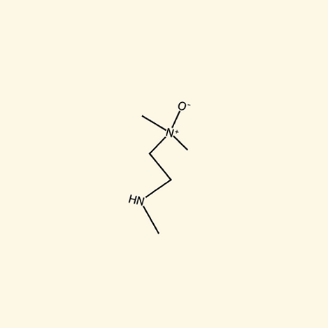 CNCC[N+](C)(C)[O-]